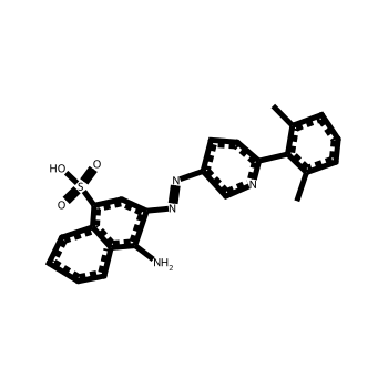 Cc1cccc(C)c1-c1ccc(/N=N/c2cc(S(=O)(=O)O)c3ccccc3c2N)cn1